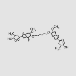 COc1cc2sc(C(=O)CC(C)C(=O)O)cc2cc1OCCCCCCOc1c(OC)cc2sc(C(=O)CC(C)C(=O)O)cc2c1F